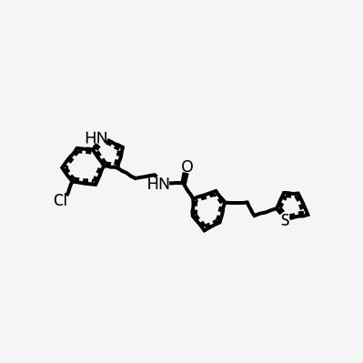 O=C(NCCc1c[nH]c2ccc(Cl)cc12)c1cccc(CCc2cccs2)c1